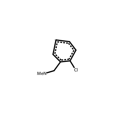 CNCc1c[c]ccc1Cl